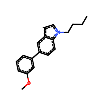 CCCCn1c[c]c2cc(-c3cccc(OC)c3)ccc21